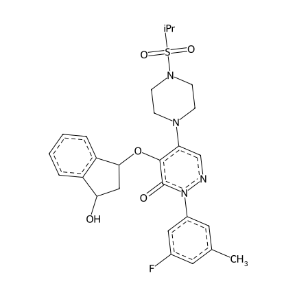 Cc1cc(F)cc(-n2ncc(N3CCN(S(=O)(=O)C(C)C)CC3)c(OC3CC(O)c4ccccc43)c2=O)c1